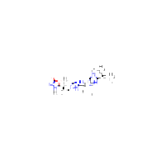 Cn1c[n+](CC(C)(C)c2n[n+](CC(C)(C)c3n[nH]c(=O)o3)c[nH]2)nc1C(C)(C)C